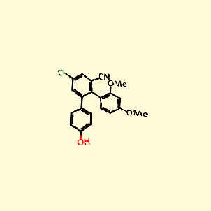 COc1ccc(-c2c(C#N)cc(Cl)cc2-c2ccc(O)cc2)c(OC)c1